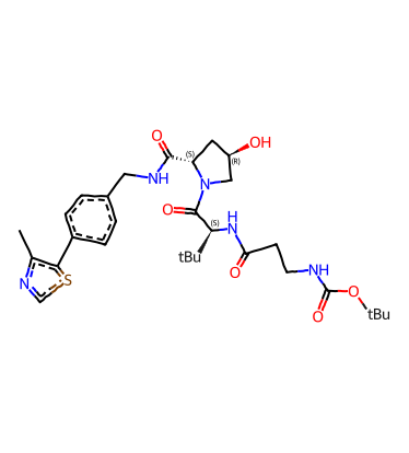 Cc1ncsc1-c1ccc(CNC(=O)[C@@H]2C[C@@H](O)CN2C(=O)[C@@H](NC(=O)CCNC(=O)OC(C)(C)C)C(C)(C)C)cc1